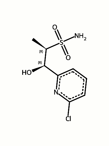 C[C@H]([C@H](O)c1cccc(Cl)n1)S(N)(=O)=O